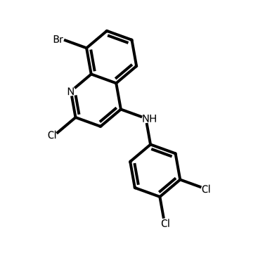 Clc1cc(Nc2ccc(Cl)c(Cl)c2)c2cccc(Br)c2n1